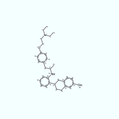 CCN(CC)CCOc1ccc(CC(C)Nc2ccccc2C2CCc3cc(O)ccc3C2)cc1